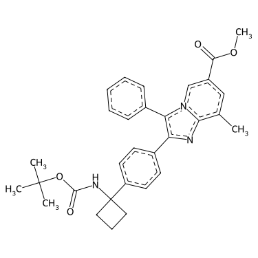 COC(=O)c1cc(C)c2nc(-c3ccc(C4(NC(=O)OC(C)(C)C)CCC4)cc3)c(-c3ccccc3)n2c1